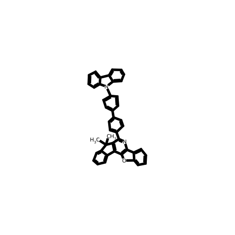 CC1(C)c2ccccc2-c2c1c(-c1ccc(-c3ccc(-n4c5ccccc5c5ccccc54)cc3)cc1)nc1c2oc2ccccc21